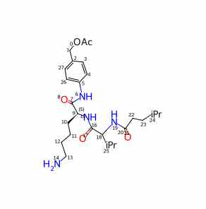 CC(=O)OCc1ccc(NC(=O)[C@H](CCCCN)NC(=O)C(NC(=O)CCC(C)C)C(C)C)cc1